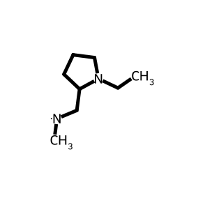 CCN1CCCC1C[N]C